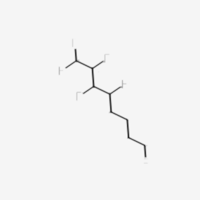 FCCCCC(F)C(F)C(F)C(F)F